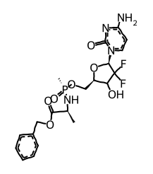 C[C@H](N[P@@](C)(=O)OC[C@H]1O[C@@H](n2ccc(N)nc2=O)C(F)(F)C1O)C(=O)OCc1ccccc1